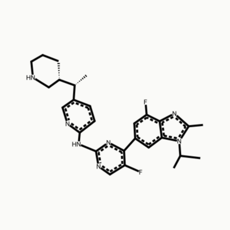 Cc1nc2c(F)cc(-c3nc(Nc4ccc([C@@H](C)[C@H]5CCCNC5)cn4)ncc3F)cc2n1C(C)C